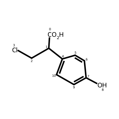 O=C(O)C(CCl)c1ccc(O)cc1